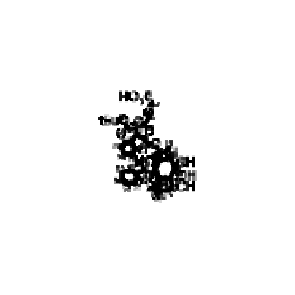 CC(=O)O[C@@]12CO[C@@H]1C[C@H](O)[C@@]1(C)[C@H](O)[C@H](O)[C@H]3C(C)[C@@H](OC(=O)[C@H](OC(=O)COCC(=O)O)[C@@H](NC(=O)OC(C)(C)C)c4ccccc4)C[C@@](O)([C@@H](OC(=O)c4ccccc4)[C@H]21)C3(C)C